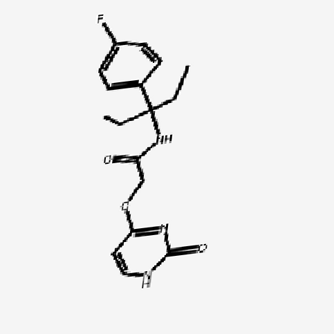 CCC(CC)(NC(=O)COc1cc[nH]c(=O)n1)c1ccc(F)cc1